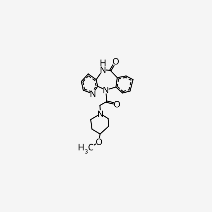 COC1CCN(CC(=O)N2c3ccccc3C(=O)Nc3cccnc32)CC1